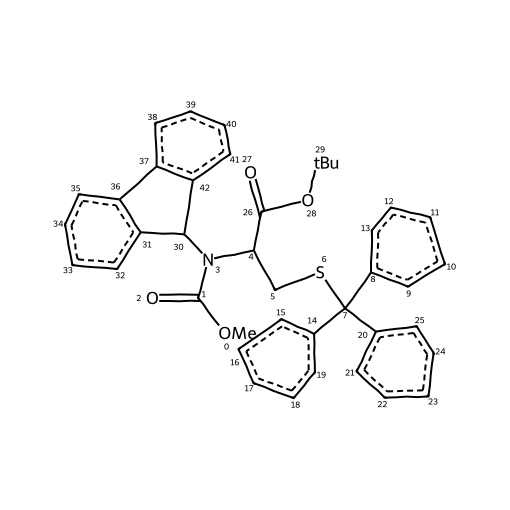 COC(=O)N(C(CSC(c1ccccc1)(c1ccccc1)c1ccccc1)C(=O)OC(C)(C)C)C1c2ccccc2-c2ccccc21